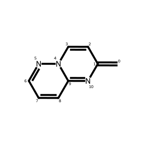 C=C1C=CN2N=CC=CC2=N1